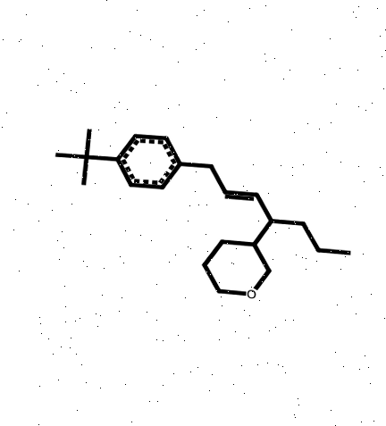 CCC[C](C=CCc1ccc(C(C)(C)C)cc1)C1CCCOC1